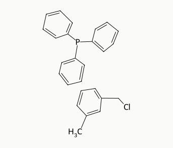 Cc1cccc(CCl)c1.c1ccc(P(c2ccccc2)c2ccccc2)cc1